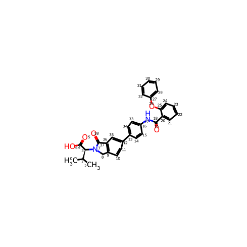 CC(C)[C@@H](C(=O)O)N1Cc2ccc(-c3ccc(NC(=O)c4ccccc4Oc4ccccc4)cc3)cc2C1=O